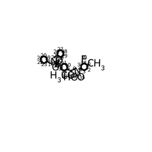 Cc1ccc(N(CC(=O)c2ccc(S(=O)(=O)N(Cc3ccccc3)Cc3ccccc3)cc2C)C(=O)O)cc1F